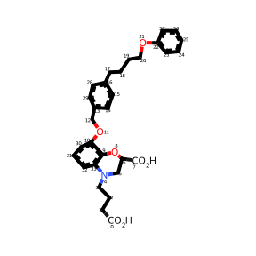 O=C(O)CCCN1CC(C(=O)O)Oc2c(OCc3ccc(CCCCOc4ccccc4)cc3)cccc21